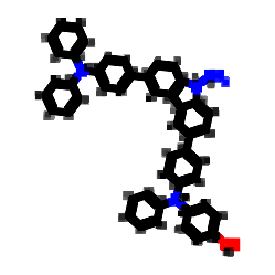 Nn1c2ccc(-c3ccc(N(c4ccccc4)c4ccccc4)cc3)cc2c2cc(-c3ccc(N(c4ccccc4)c4ccc(O)cc4)cc3)ccc21